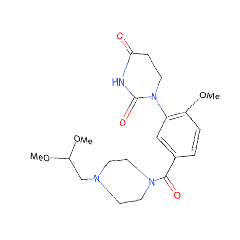 COc1ccc(C(=O)N2CCN(CC(OC)OC)CC2)cc1N1CCC(=O)NC1=O